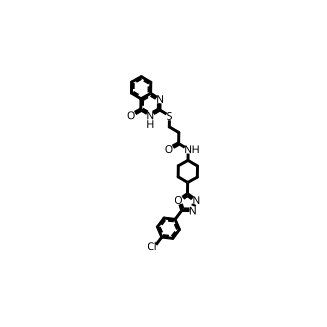 O=C(CCSc1nc2ccccc2c(=O)[nH]1)NC1CCC(c2nnc(-c3ccc(Cl)cc3)o2)CC1